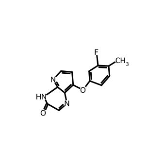 Cc1ccc(Oc2ccnc3[nH]c(=O)cnc23)cc1F